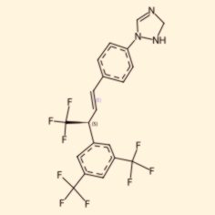 FC(F)(F)c1cc([C@H](/C=C/c2ccc(N3C=NCN3)cc2)C(F)(F)F)cc(C(F)(F)F)c1